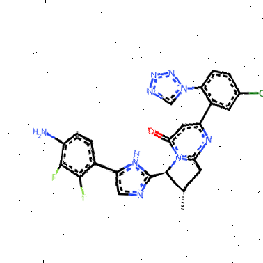 C[C@H]1Cc2nc(-c3cc(Cl)ccc3-n3cnnn3)cc(=O)n2[C@@H]1c1ncc(-c2ccc(N)c(F)c2F)[nH]1